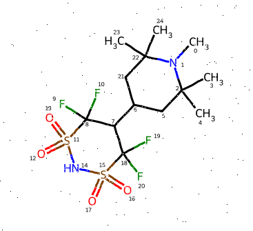 CN1C(C)(C)CC(C2C(F)(F)S(=O)(=O)NS(=O)(=O)C2(F)F)CC1(C)C